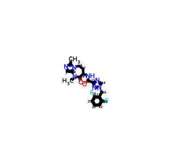 Cc1ncc2n1CCC(NC(=O)c1ncn(Cc3c(F)cccc3F)n1)C(=O)N2C